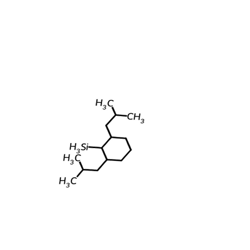 CC(C)CC1CCCC(CC(C)C)C1[SiH3]